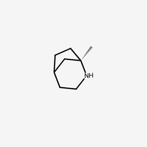 C[C@]12CCC(CCN1)C2